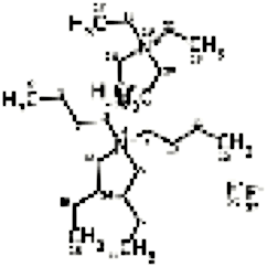 CCCC[N+](CCCC)(CCCC)CCCC.CC[N+](CC)(CC)CC.[F-].[F-]